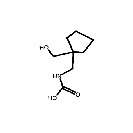 O=C(O)NCC1(CO)CCCC1